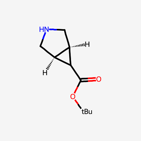 CC(C)(C)OC(=O)C1[C@H]2CNC[C@@H]12